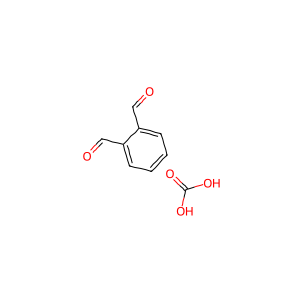 O=C(O)O.O=Cc1ccccc1C=O